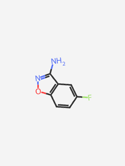 Nc1noc2ccc(F)cc12